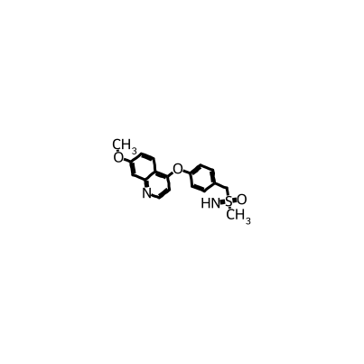 COc1ccc2c(Oc3ccc(CS(C)(=N)=O)cc3)ccnc2c1